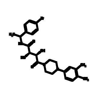 Cc1ccc(N2CCN(C(=O)[C@H](O)[C@@H](O)C(=O)NC(C)c3ccc(Br)cc3)CC2)cc1C